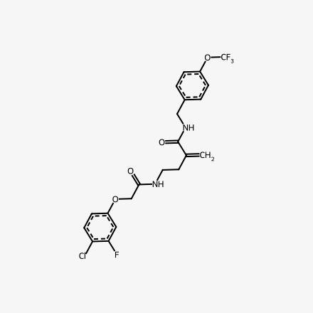 C=C(CCNC(=O)COc1ccc(Cl)c(F)c1)C(=O)NCc1ccc(OC(F)(F)F)cc1